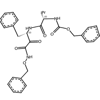 CC(C)[C@H](NC(=O)OCc1ccccc1)C(=O)N[C@@H](Cc1ccccc1)C(=O)C(=O)NOCc1ccccc1